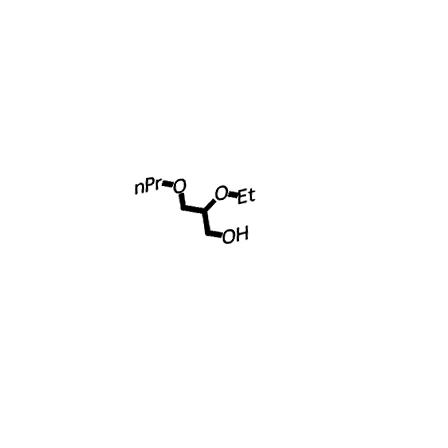 CCCOCC(CO)OCC